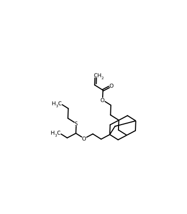 C=CC(=O)OCCC12CC3CC(C1)CC(CCOC(CC)SCCC)(C3)C2